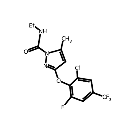 CCNC(=O)n1nc(Oc2c(F)cc(C(F)(F)F)cc2Cl)cc1C